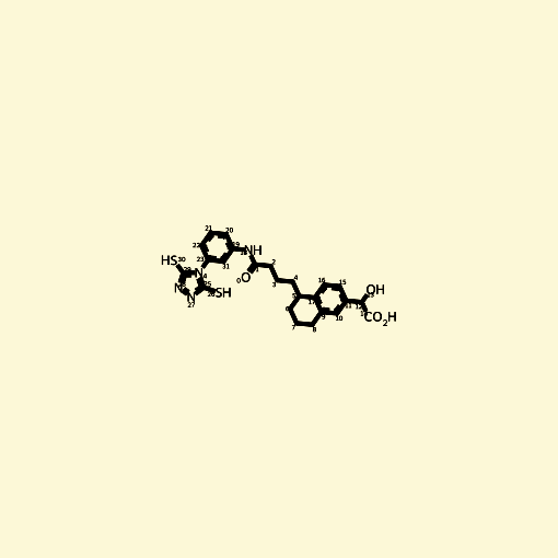 O=C(CCCC1CCCc2cc(C(O)C(=O)O)ccc21)Nc1cccc(-n2c(S)nnc2S)c1